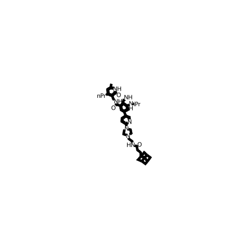 CCCc1cc(C)[nH]c(=O)c1CNC(=O)c1cc(-c2ccc(N3CCN(CCNC(=O)CCC45CC6CC7CC(C4)C765)CC3)nc2)cc(NC(C)C)c1C=N